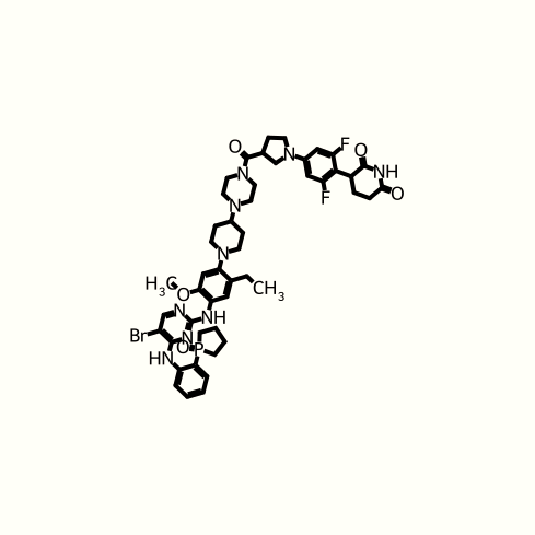 CCc1cc(Nc2ncc(Br)c(Nc3ccccc3P3(=O)CCCC3)n2)c(OC)cc1N1CCC(N2CCN(C(=O)C3CCN(c4cc(F)c(C5CCC(=O)NC5=O)c(F)c4)C3)CC2)CC1